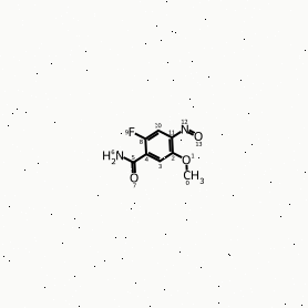 COc1cc(C(N)=O)c(F)cc1N=O